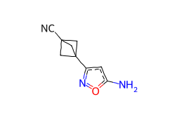 N#CC12CC(c3cc(N)on3)(C1)C2